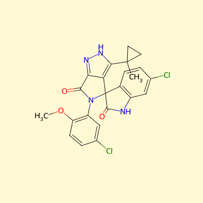 COc1ccc(Cl)cc1N1C(=O)c2n[nH]c(C3(C)CC3)c2C12C(=O)Nc1cc(Cl)ccc12